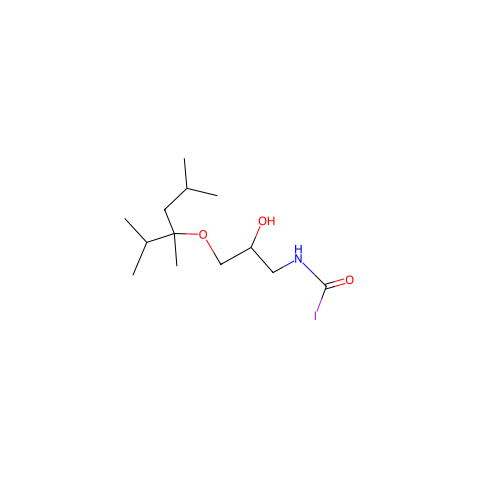 CC(C)CC(C)(OCC(O)CNC(=O)I)C(C)C